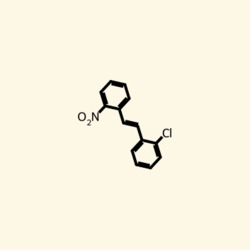 O=[N+]([O-])c1ccccc1/C=C/c1ccccc1Cl